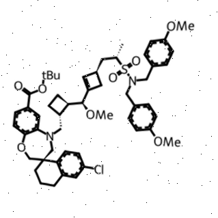 COc1ccc(CN(Cc2ccc(OC)cc2)S(=O)(=O)[C@@H](C)C[C@@H]2C=C([C@@H](OC)[C@@H]3CC[C@H]3CN3C[C@@]4(CCCc5cc(Cl)ccc54)COc4ccc(C(=O)OC(C)(C)C)cc43)C2)cc1